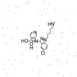 CNCCCCCn1nc(Nc2cnccc2C(O)O)c2cc(Cl)ccc21